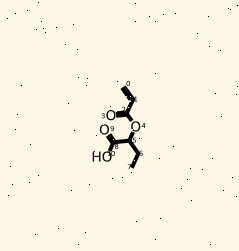 C=CC(=O)OC(CC)C(=O)O